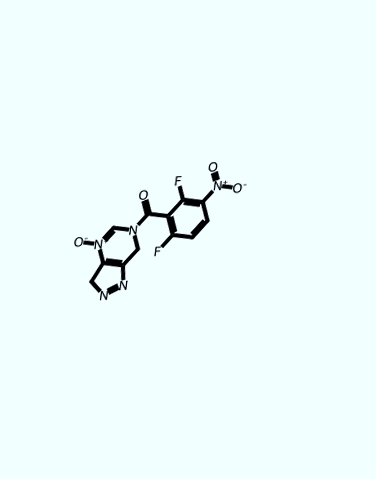 O=C(c1c(F)ccc([N+](=O)[O-])c1F)N1C=[N+]([O-])C2=C(C1)N=NC2